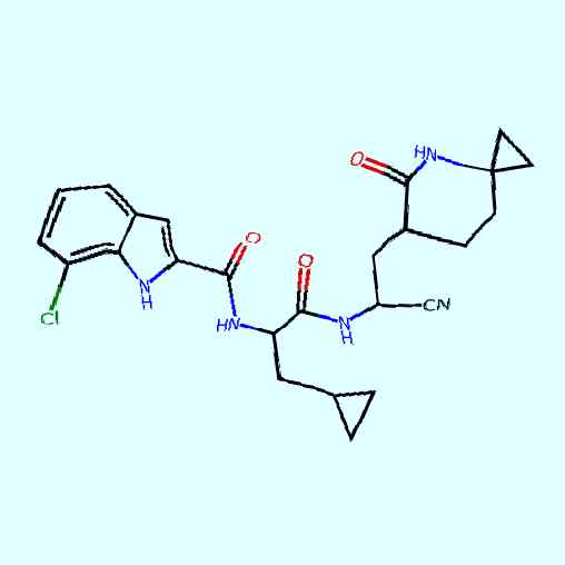 N#CC(CC1CCC2(CC2)NC1=O)NC(=O)C(CC1CC1)NC(=O)c1cc2cccc(Cl)c2[nH]1